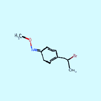 CON=C1C=CC(C(C)Br)=CC1